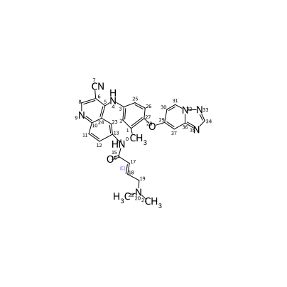 Cc1cc(Nc2c(C#N)cnc3ccc(NC(=O)/C=C/CN(C)C)cc23)ccc1Oc1ccn2ncnc2c1